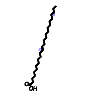 CC/C=C/CCCCCCCCC/C=C/CCCCCCCCCCC(=O)O